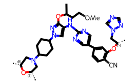 COCCC(C)Oc1nn(C2CCC(N3C[C@@H](C)O[C@@H](C)C3)CC2)cc1Nc1ncc(-c2ccc(C#N)c(O[C@@H](C)Cn3cncn3)c2)cn1